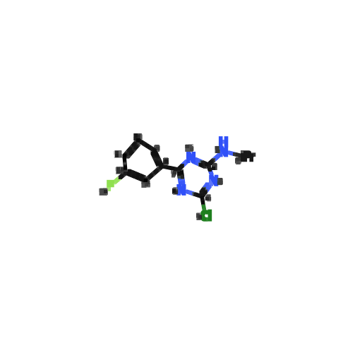 CC(C)Nc1nc(Cl)nc(-c2cccc(F)c2)n1